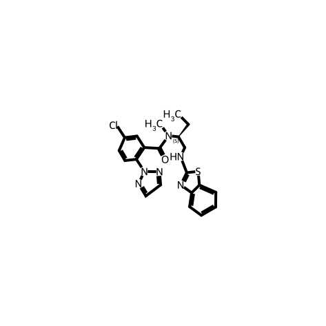 CC[C@@H](CNc1nc2ccccc2s1)N(C)C(=O)c1cc(Cl)ccc1-n1nccn1